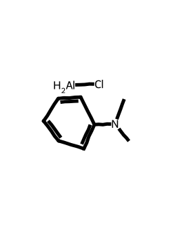 CN(C)c1ccccc1.[AlH2][Cl]